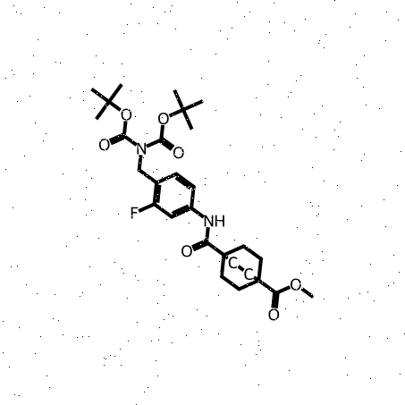 COC(=O)C12CCC(C(=O)Nc3ccc(CN(C(=O)OC(C)(C)C)C(=O)OC(C)(C)C)c(F)c3)(CC1)CC2